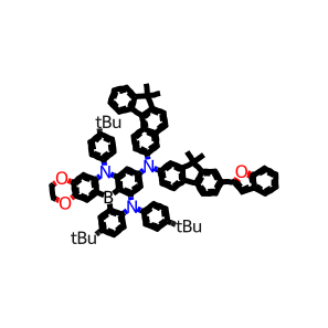 CC(C)(C)c1ccc(N2c3ccc(C(C)(C)C)cc3B3c4cc5c(cc4N(c4ccc(C(C)(C)C)cc4)c4cc(N(c6ccc7c(c6)C(C)(C)c6cc(-c8cc9ccccc9o8)ccc6-7)c6ccc7c8c(ccc7c6)C(C)(C)c6ccccc6-8)cc2c43)OCCO5)cc1